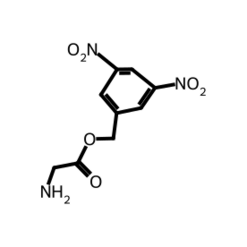 NCC(=O)OCc1cc([N+](=O)[O-])cc([N+](=O)[O-])c1